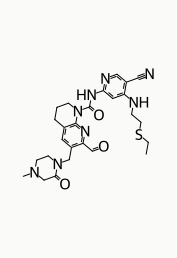 CCSCCNc1cc(NC(=O)N2CCCc3cc(CN4CCN(C)CC4=O)c(C=O)nc32)ncc1C#N